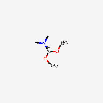 CN(C)[SiH](OC(C)(C)C)OC(C)(C)C